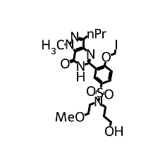 CCCc1nn(C)c2c(=O)[nH]c(-c3cc(S(=O)(=O)N(CCCO)CCOC)ccc3OCI)nc12